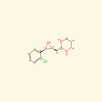 Clc1ccccc1[C@H]1O[C@H]1CC1OCCCO1